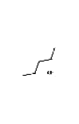 C[CH]CCC.[AlH3]